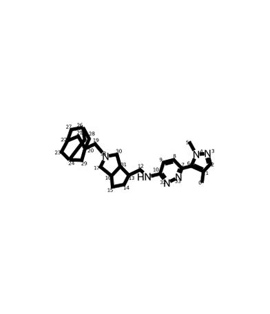 Cc1cnn(C)c1-c1ccc(NCC2CCC3CN(CC45CC6CC(CC(C6)C4)C5)CC23)nn1